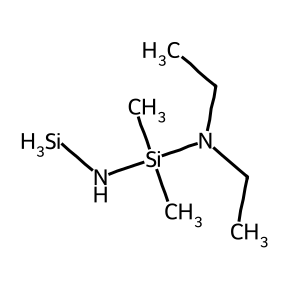 CCN(CC)[Si](C)(C)N[SiH3]